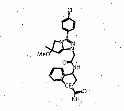 COC1(C)C=C2N(CC(=O)NC(COC(N)=O)c3ccccc3C(F)(F)F)N=C(c3ccc(Cl)cc3)N2C1